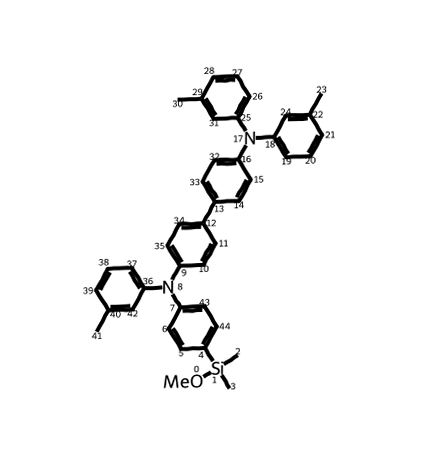 CO[Si](C)(C)c1ccc(N(c2ccc(-c3ccc(N(c4cccc(C)c4)c4cccc(C)c4)cc3)cc2)c2cccc(C)c2)cc1